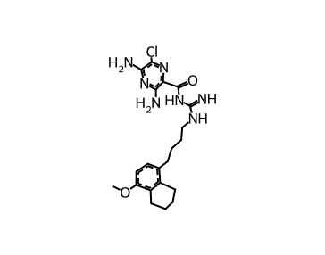 COc1ccc(CCCCNC(=N)NC(=O)c2nc(Cl)c(N)nc2N)c2c1CCCC2